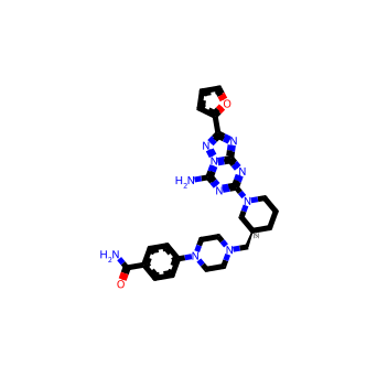 NC(=O)c1ccc(N2CCN(C[C@@H]3CCCN(c4nc(N)n5nc(-c6ccco6)nc5n4)C3)CC2)cc1